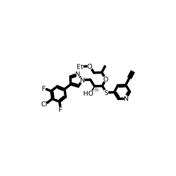 C#Cc1cncc(SC(OC(C)COCC)[C@@H](O)Cn2cc(-c3cc(F)c(Cl)c(F)c3)cn2)c1